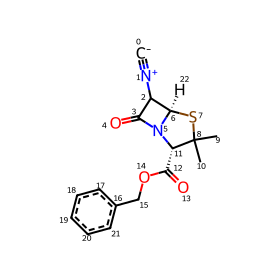 [C-]#[N+]C1C(=O)N2[C@@H]1SC(C)(C)[C@@H]2C(=O)OCc1ccccc1